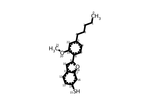 CCCCCc1ccc(-c2cc3ccc(S)cc3o2)c(OC)c1